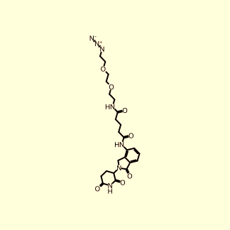 [N-]=[N+]=NCCOCCOCCNC(=O)CCCC(=O)Nc1cccc2c1CN(C1CCC(=O)NC1=O)C2=O